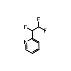 F[C](F)C(F)c1ccccn1